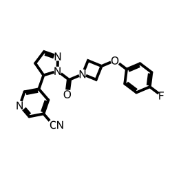 N#Cc1cncc(C2CC=NN2C(=O)N2CC(Oc3ccc(F)cc3)C2)c1